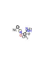 CCc1ncc(-c2cc(C(=O)N3CCC(c4ccccc4C#N)CC3)c(C)cc2C2CCC2)[nH]1